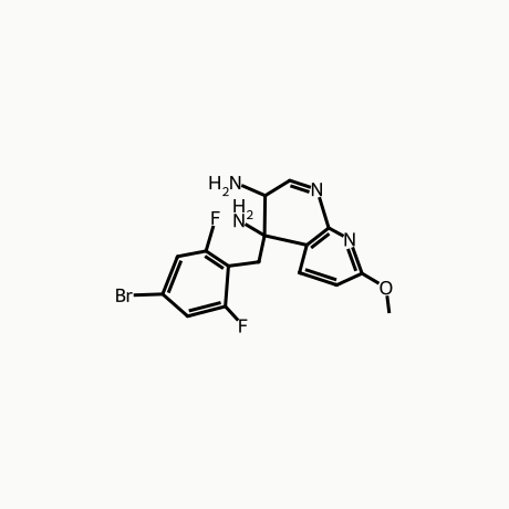 COc1ccc2c(n1)N=CC(N)C2(N)Cc1c(F)cc(Br)cc1F